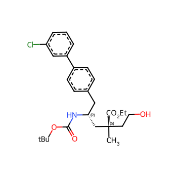 CCOC(=O)[C@](C)(CCO)C[C@@H](Cc1ccc(-c2cccc(Cl)c2)cc1)NC(=O)OC(C)(C)C